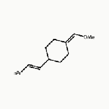 CCC/C=C/C1CCC(=COC)CC1